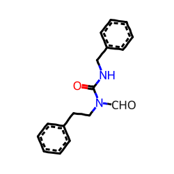 O=CN(CCc1ccccc1)C(=O)NCc1ccccc1